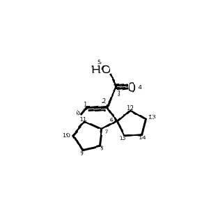 C/C=C(/C(=O)O)C1(C2CCCC2)CCCC1